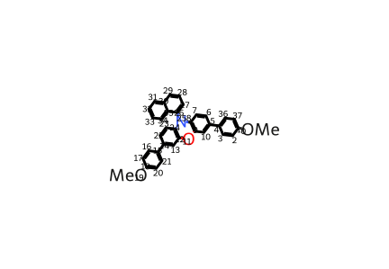 COc1ccc(-c2ccc3c(c2)Oc2cc(-c4ccc(OC)cc4)ccc2N3c2cccc3ccccc23)cc1